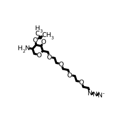 CC1(C)OC2C(N)COC(COCCOCCOCCOCCN=[N+]=[N-])C2O1